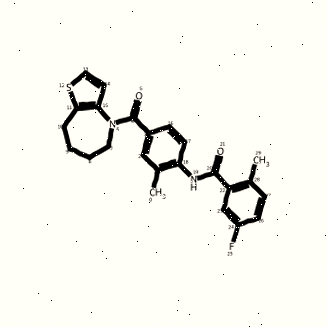 Cc1cc(C(=O)N2CCCCc3sccc32)ccc1NC(=O)c1cc(F)ccc1C